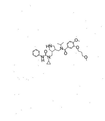 COCCCOc1cc(C(=O)N(CC2CNCC2CN(C(=O)Nc2ccccc2)C2CC2)C(C)C)ccc1OC